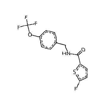 O=C(NCc1ccc(OC(F)(F)F)cc1)c1ccc(F)s1